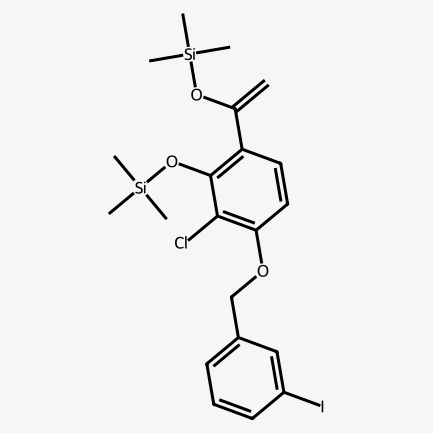 C=C(O[Si](C)(C)C)c1ccc(OCc2cccc(I)c2)c(Cl)c1O[Si](C)(C)C